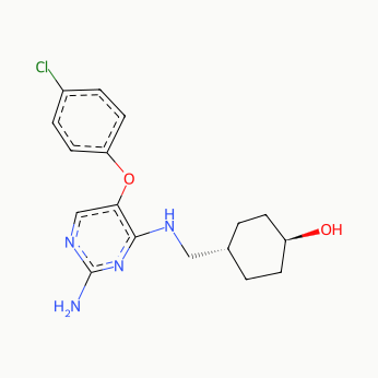 Nc1ncc(Oc2ccc(Cl)cc2)c(NC[C@H]2CC[C@H](O)CC2)n1